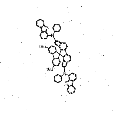 CC(C)(C)c1ccc2c(c1)-c1cc(C(C)(C)C)ccc1C21c2c(ccc3cc(N(c4ccccc4)c4cccc5c4sc4ccccc45)ccc23)-c2ccc3cc(N(c4ccccc4)c4cccc5c4sc4ccccc45)ccc3c21